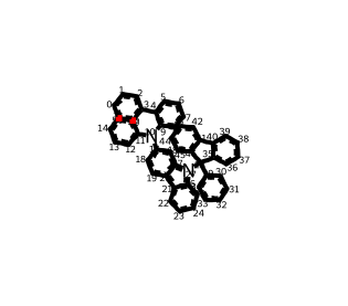 c1ccc(-c2ccccc2N(c2ccccc2)c2ccc3c4ccccc4n(C4(c5ccccc5)c5ccccc5-c5ccccc54)c3c2)cc1